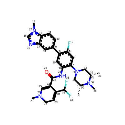 C[C@@H]1CN(c2cc(F)c(-c3ccc4c(c3)ncn4C)cc2NC(=O)C2=CN(C)CC=C2C(F)F)C[C@H](C)N1C